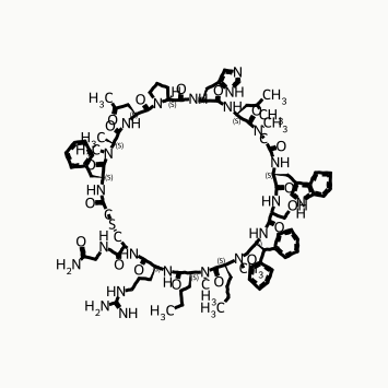 CCCC[C@H]1C(=O)N(C)[C@@H](CCCC)C(=O)N[C@@H](CCCNC(=N)N)C(=O)NC(C(=O)NCC(N)=O)CSCC(=O)N[C@@H](Cc2ccccc2)C(=O)N(C)[C@@H](C)C(=O)N[C@@H](CC(C)=O)C(=O)N2CCC[C@H]2C(=O)N[C@@H](Cc2cnc[nH]2)C(=O)N[C@@H](CC(C)C)C(=O)N(C)CC(=O)N[C@@H](Cc2c[nH]c3ccccc23)C(=O)NC(CO)C(=O)N[C@@H](C(c2ccccc2)c2ccccc2)C(=O)N1C